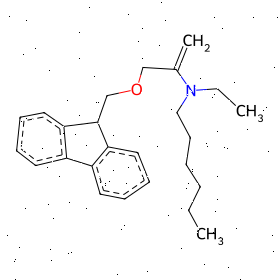 C=C(COCC1c2ccccc2-c2ccccc21)N(CC)CCCCCC